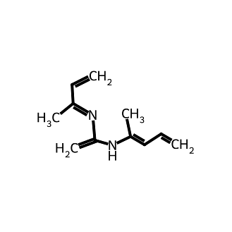 C=C/C=C(\C)NC(=C)/N=C(\C)C=C